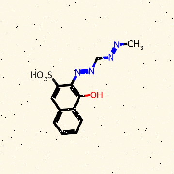 CN=NCN=Nc1c(S(=O)(=O)O)cc2ccccc2c1O